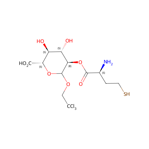 N[C@@H](CCS)C(=O)O[C@H]1C(OCC(Cl)(Cl)Cl)O[C@H](C(=O)O)[C@@H](O)[C@@H]1O